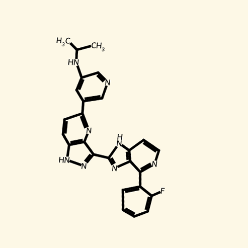 CC(C)Nc1cncc(-c2ccc3[nH]nc(-c4nc5c(-c6ccccc6F)nccc5[nH]4)c3n2)c1